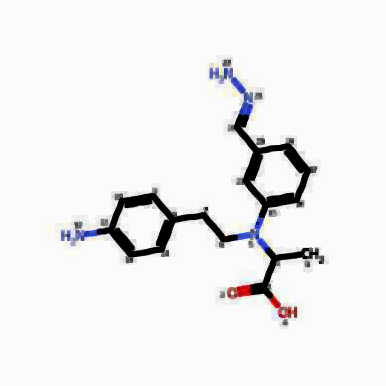 CC(C(=O)O)N(CCc1ccc(N)cc1)c1cccc(C=NN)c1